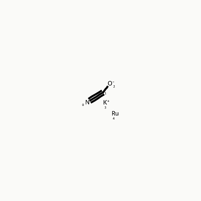 N#C[O-].[K+].[Ru]